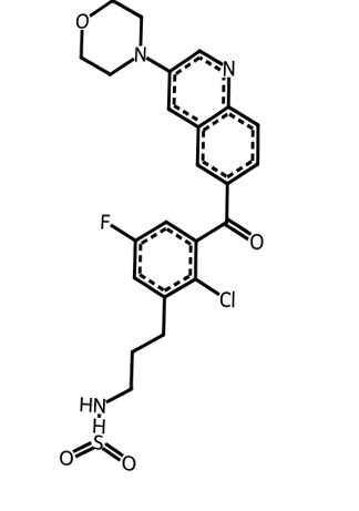 O=C(c1ccc2ncc(N3CCOCC3)cc2c1)c1cc(F)cc(CCCN[SH](=O)=O)c1Cl